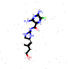 C/C(=C\[C@H]1CN/C(=N/C(=O)c2nc(Cl)c(N)nc2N)N1)CCO